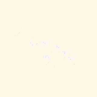 CCNC(=O)Nc1cc(Nc2ccccc2)c(C(=O)Nc2ccc(CCC(=O)O)nc2)cn1